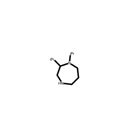 CC(C)C1CNCCCN1C(C)C